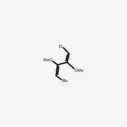 CC/C=C(OC)\C(=C/C(C)(C)C)OC